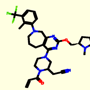 C=CC(=O)N1CCN(c2nc(OC[C@@H]3CCCN3C)nc3c2CCCN(c2cccc(C(F)(F)F)c2C)C3)CC1CC#N